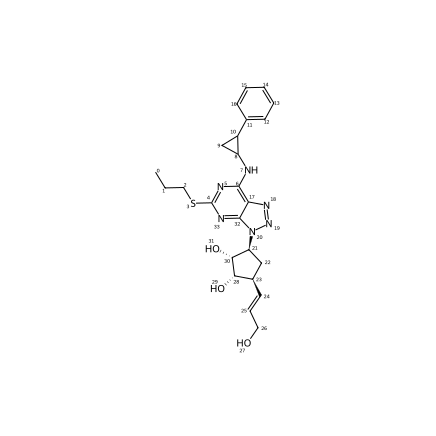 CCCSc1nc(NC2CC2c2ccccc2)c2nnn([C@H]3C[C@@H](/C=C/CO)[C@H](O)[C@@H]3O)c2n1